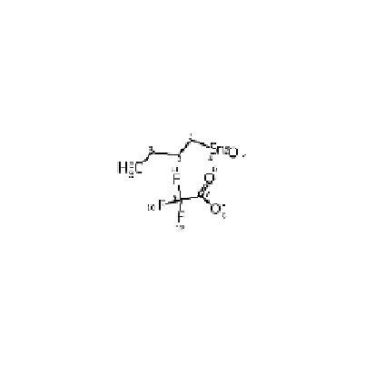 CCC[CH2][Sn+]=[O].O=C([O-])C(F)(F)F